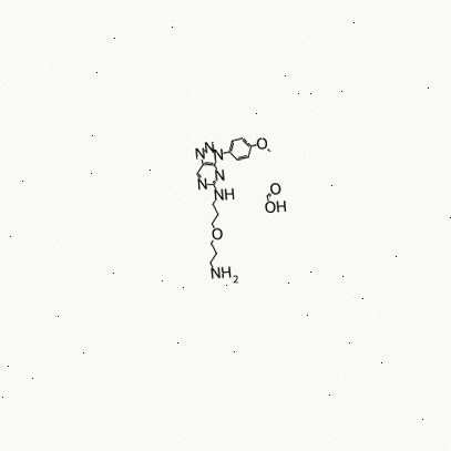 COc1ccc(-n2nnc3cnc(NCCCOCCCN)nc32)cc1.O=CO